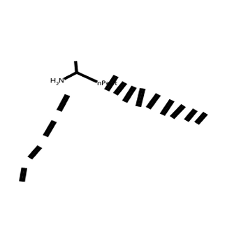 C=C.C=C.C=C.C=C.C=C.C=C.C=C.C=C.C=C.C=C.C=C.C=C.C=C.CCCCCC(C)N